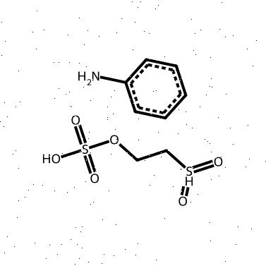 Nc1ccccc1.O=[SH](=O)CCOS(=O)(=O)O